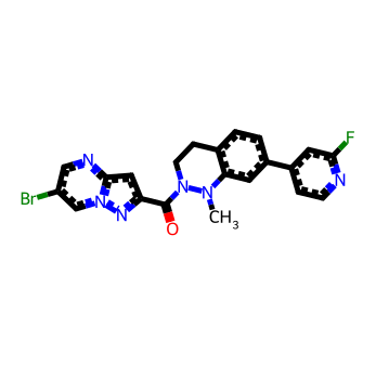 CN1c2cc(-c3ccnc(F)c3)ccc2CCN1C(=O)c1cc2ncc(Br)cn2n1